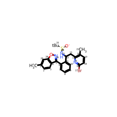 Cc1ccc2c(-c3ccccc3C(Cc3nc(Br)ccc3C)N[S@@+]([O-])C(C)(C)C)noc2c1